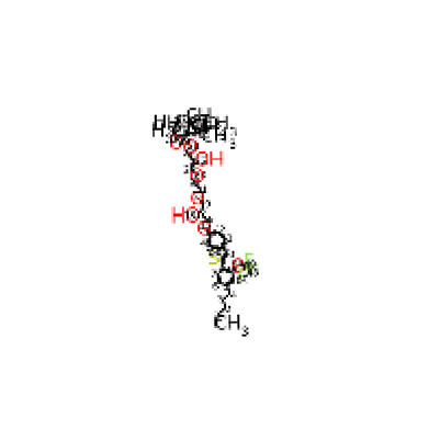 CCCCCc1ccc(-c2cc3ccc(OCC(O)COCCOCC(O)COC(=O)C(C)(CC(C)(C)C)C(C)(C)C)cc3s2)c(OC(F)(F)F)c1